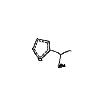 [CH2]C(CCCC)c1ccco1